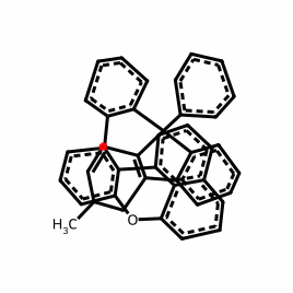 CC1C=CC2=C(C1)c1ccccc1C2(c1ccccc1)c1ccccc1-c1cccc2c1-c1cccc3cccc(c13)O2